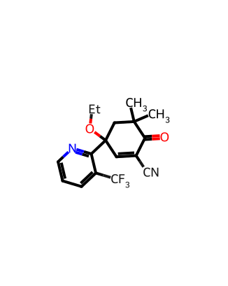 CCOC1(c2ncccc2C(F)(F)F)C=C(C#N)C(=O)C(C)(C)C1